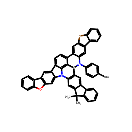 CC(C)(C)c1ccc(N2B3c4cc5c(cc4-n4c6cc7oc8ccccc8c7cc6c6ccc(c3c64)-c3cc4sc6ccccc6c4cc32)C(C)(C)c2ccccc2-5)cc1